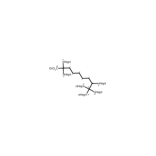 CCCCCCCC(CCCCCC(CCCCCCC)(CCCCCCC)C(=O)OCC)C(CCCCCCC)(CCCCCCC)CCCCCCC